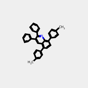 Cc1ccc(-c2ccc(-c3ccc(C)cc3)c3nc(-c4ccccc4)c(-c4ccccc4)cc23)cc1